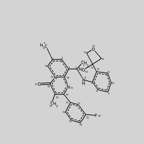 Cc1cc(C(C)Nc2ccccc2C2(O)COC2)c2nc(-c3cccc(F)c3)c(C)c(=O)n2c1